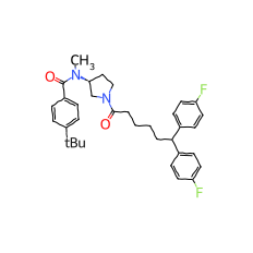 CN(C(=O)c1ccc(C(C)(C)C)cc1)[C@H]1CCN(C(=O)CCCCC(c2ccc(F)cc2)c2ccc(F)cc2)C1